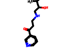 CC(C)C(O)CNCCC(=O)c1cccnc1